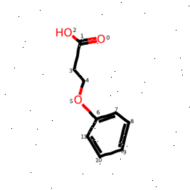 O=C(O)CCOc1cc[c]cc1